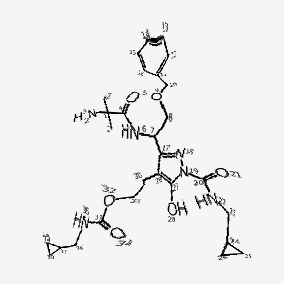 CC(C)(N)C(=O)NC(COCc1ccccc1)c1nn(C(=O)NCC2CC2)c(O)c1CCOC(=O)NCC1CC1